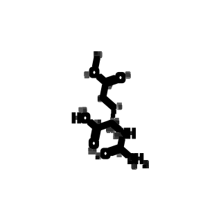 BC(=O)N[C@@H](CCC(=O)OC)C(=O)O